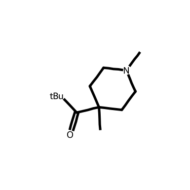 CN1CCC(C)(C(=O)C(C)(C)C)CC1